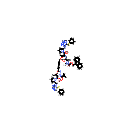 CC(C)C(=O)N[C@H](C(=O)N1CCCC1Cn1nnnc1Sc1ccccc1)[C@@H](C)OCC#CC#CCOC(C)[C@H](NC(=O)[C@H](C)N(C)C(=O)OCC1c2ccccc2-c2ccccc21)C(=O)N1CCC[C@H]1Cn1nnnc1Sc1ccccc1